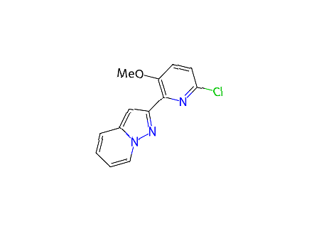 COc1ccc(Cl)nc1-c1cc2ccccn2n1